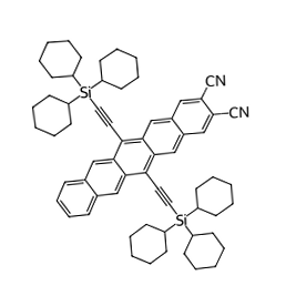 N#Cc1cc2cc3c(C#C[Si](C4CCCCC4)(C4CCCCC4)C4CCCCC4)c4cc5ccccc5cc4c(C#C[Si](C4CCCCC4)(C4CCCCC4)C4CCCCC4)c3cc2cc1C#N